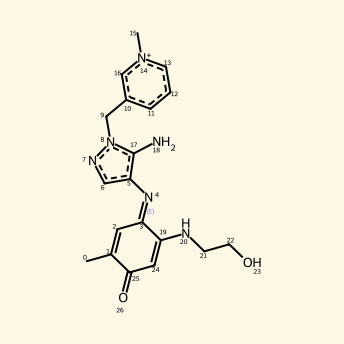 CC1=C/C(=N\c2cnn(Cc3ccc[n+](C)c3)c2N)C(NCCO)=CC1=O